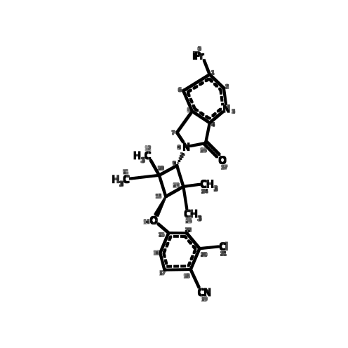 CC(C)c1cnc2c(c1)CN([C@H]1C(C)(C)[C@H](Oc3ccc(C#N)c(Cl)c3)C1(C)C)C2=O